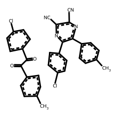 Cc1ccc(-c2nc(C#N)c(C#N)nc2-c2ccc(Cl)cc2)cc1.Cc1ccc(C(=O)C(=O)c2ccc(Cl)cc2)cc1